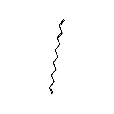 [CH]=CCCCCCCCC=CC=C